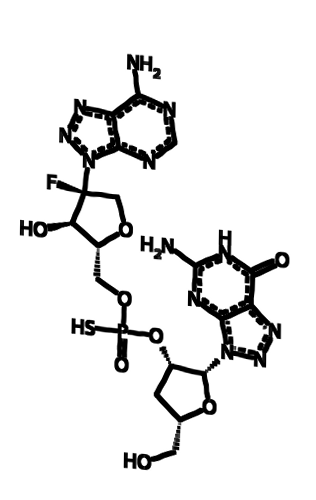 Nc1nc2c(nnn2[C@@H]2O[C@H](CO)C[C@@H]2OP(=O)(S)OC[C@H]2OC[C@@](F)(n3nnc4c(N)ncnc43)[C@@H]2O)c(=O)[nH]1